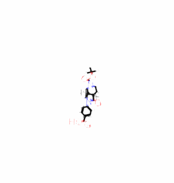 CC(C)(C)OC(=O)N1CC[C@]2(C)C(=O)N(c3ccc(C(=O)O)cc3)C[C@@H]2C1